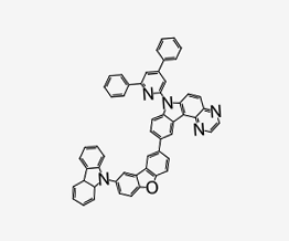 C1=CC2c3ccccc3N(c3ccc4oc5ccc(-c6ccc7c(c6)c6c8nccnc8ccc6n7-c6cc(-c7ccccc7)cc(-c7ccccc7)n6)cc5c4c3)C2C=C1